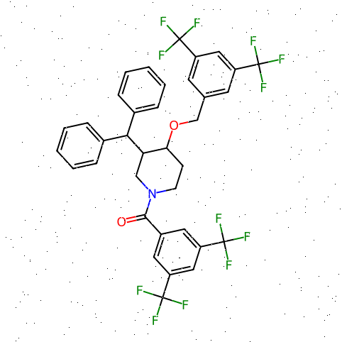 O=C(c1cc(C(F)(F)F)cc(C(F)(F)F)c1)N1CCC(OCc2cc(C(F)(F)F)cc(C(F)(F)F)c2)C(C(c2ccccc2)c2ccccc2)C1